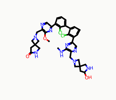 CNc1nc(-c2cccc(-c3cccc(-c4cnc(CN5CC6(CNC(=O)C6)C5)c(OC)n4)c3Cl)c2Cl)cnc1CN1CC2(CNC(O)C2)C1